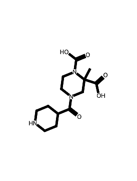 CC1(C(=O)O)CN(C(=O)C2CCNCC2)CCN1C(=O)O